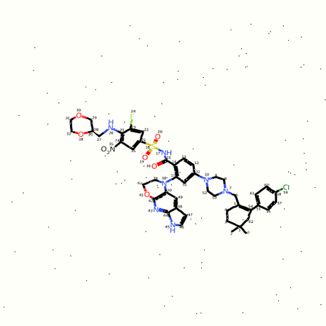 CC1(C)CCC(CN2CCN(c3ccc(C(=O)NS(=O)(=O)c4cc(F)c(NC[C@@H]5COCCO5)c([N+](=O)[O-])c4)c(N4CCOc5nc6[nH]ccc6cc54)c3)CC2)=C(c2ccc(Cl)cc2)C1